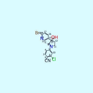 C[C@H]1N(c2ccc(C#N)c(Cl)c2)CC[C@]1(O)c1ccc(Br)nc1